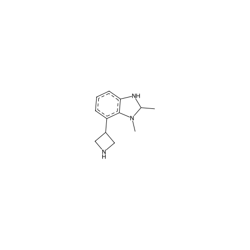 CC1Nc2cccc(C3CNC3)c2N1C